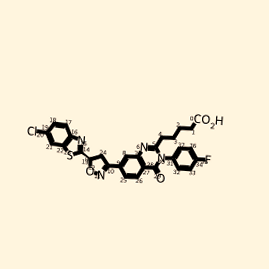 O=C(O)CCCCc1nc2cc(C3=NO[C@@H](c4nc5ccc(Cl)cc5s4)C3)ccc2c(=O)n1-c1ccc(F)cc1